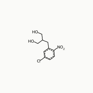 O=[N+]([O-])c1ccc(Cl)cc1CC(CO)CO